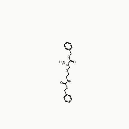 N[C@@H](CSCCNC(=O)OCc1ccccc1)C(=O)OCc1ccccc1